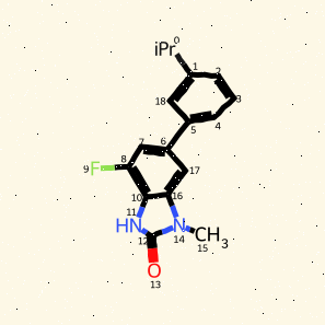 CC(C)c1cccc(-c2cc(F)c3[nH]c(=O)n(C)c3c2)c1